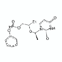 CCC(CO[PH](=O)Oc1ccccc1)O[C@H](C)n1ccc(=O)[nH]c1=O